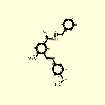 COc1ccc(C(=O)NNCc2ccccc2)cc1/C=C/c1ccc(OC(F)(F)F)cc1